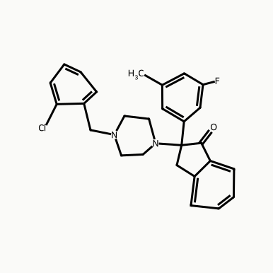 Cc1cc(F)cc(C2(N3CCN(Cc4ccccc4Cl)CC3)Cc3ccccc3C2=O)c1